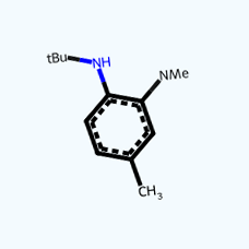 CNc1cc(C)ccc1NC(C)(C)C